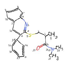 CC(CSc1nc2ccccc2cc1-c1ccccc1)C(=O)N(C)C